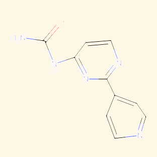 NC(=O)Nc1ccnc(-c2ccncc2)n1